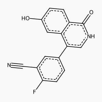 N#Cc1cc(-c2c[nH]c(=O)c3ccc(O)cc23)ccc1F